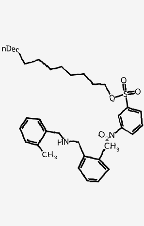 CCCCCCCCCCCCCCCCCCOS(=O)(=O)c1cccc([N+](=O)[O-])c1.Cc1ccccc1CNCc1ccccc1C